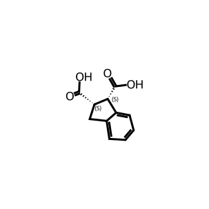 O=C(O)[C@H]1Cc2ccccc2[C@H]1C(=O)O